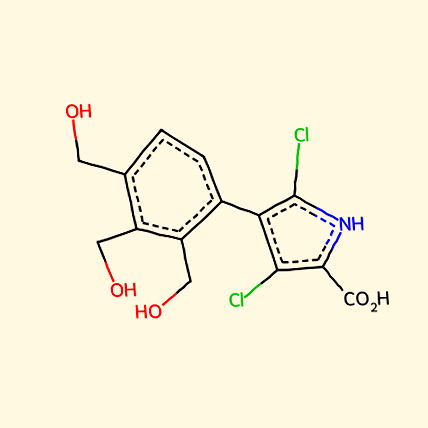 O=C(O)c1[nH]c(Cl)c(-c2ccc(CO)c(CO)c2CO)c1Cl